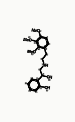 COc1ccc(CCNCC(O)c2ccccc2O)c(OC)c1OC